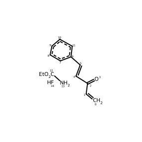 C=CC(=O)C=Cc1ccccc1.CCOC(N)=O.F